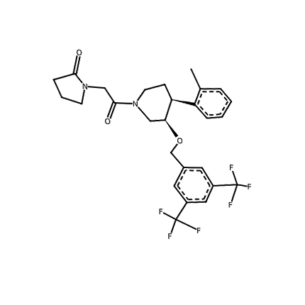 Cc1ccccc1[C@@H]1CCN(C(=O)CN2CCCC2=O)C[C@@H]1OCc1cc(C(F)(F)F)cc(C(F)(F)F)c1